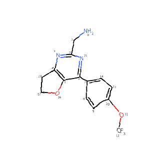 NCc1nc2c(c(-c3ccc(OC(F)(F)F)cc3)n1)OCC2